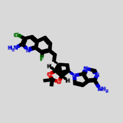 CC1(C)O[C@@H]2[C@H](O1)[C@]1(CCc3ccc4cc(Cl)c(N)nc4c3F)C[C@]2(n2ccc3c(N)ncnc32)C1